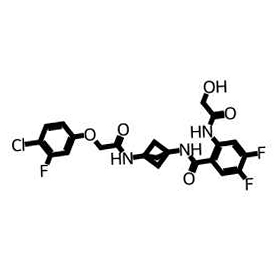 O=C(CO)Nc1cc(F)c(F)cc1C(=O)NC12CC(NC(=O)COc3ccc(Cl)c(F)c3)(C1)C2